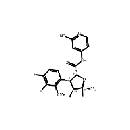 COc1c([C@H]2[C@H](C(=O)Nc3ccnc(C#N)c3)O[C@@](C)(C(F)(F)F)[C@H]2C)ccc(F)c1F